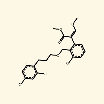 COC=C(C(=O)OC)c1cccc(Cl)c1COCCCc1ccc(Cl)cc1Cl